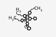 CCCCc1ccc(N2B3c4cc(CCCC)ccc4N(c4ccc(CCCC)cc4)c4cc(-c5ccccc5)cc(c43)-c3cc4c(cc32)oc2ccccc24)cc1